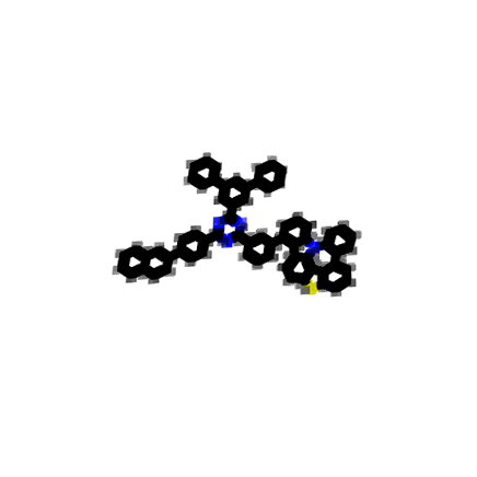 c1ccc(-c2cc(-c3ccccc3)cc(-c3nc(-c4ccc(-c5ccc6ccccc6c5)cc4)nc(-c4cccc(-c5cccc6c5c5ccc7sc8cccc9c%10ccccc%10n6c5c7c89)c4)n3)c2)cc1